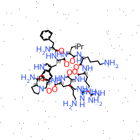 CC(C)C[C@H](NC(=O)[C@H](Cc1c[nH]c2ccccc12)NC(=O)[C@@H](N)Cc1ccccc1)C(=O)N[C@@H](CCCCN)C(=O)N[C@@H](CCCNC(=N)N)C(=O)N[C@@H](CCCCN)C(=O)N[C@@H](CCCNC(=N)N)C(=O)N[C@H](C(=O)N1CCC[C@H]1C(N)=O)C(C)C